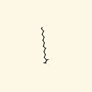 [CH2]C(O)C(O)CCCCCCCCCCCC